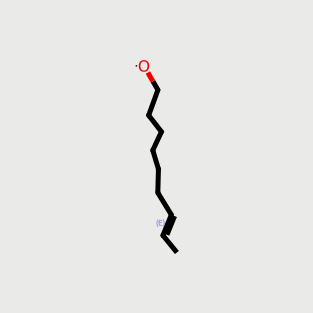 C/C=C/CCCCCC[O]